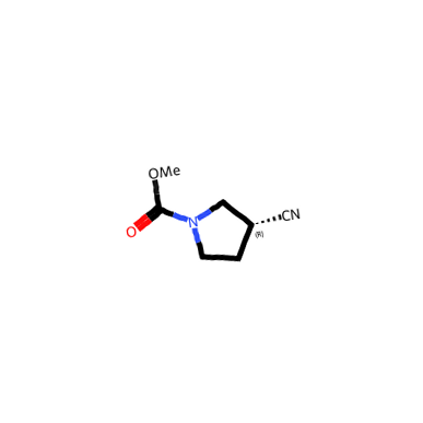 COC(=O)N1CC[C@@H](C#N)C1